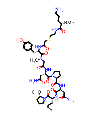 CN[C@@H](CCCN)C(=O)NCCSCC(=O)N[C@@H](Cc1ccc(O)cc1)C(=O)N(C)CC(=O)N[C@@H](CC(N)=O)C(=O)N1CCC[C@H]1C(=O)N[C@@H](CC(N)=O)C(=O)N[C@@H](CCC(C)C)C(=O)N1CCC[C@H]1C=O